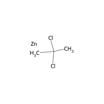 CC(C)(Cl)Cl.[Zn]